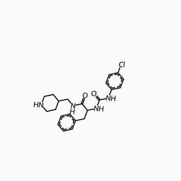 O=C(Nc1ccc(Cl)cc1)NC(Cc1ccccc1)C(=O)NCC1CCNCC1